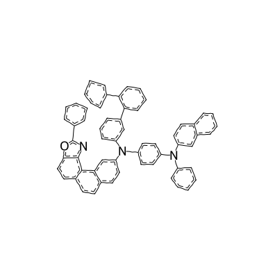 c1ccc(-c2nc3c(ccc4ccc5ccc(N(c6ccc(N(c7ccccc7)c7ccc8ccccc8c7)cc6)c6cccc(-c7ccccc7-c7ccccc7)c6)cc5c43)o2)cc1